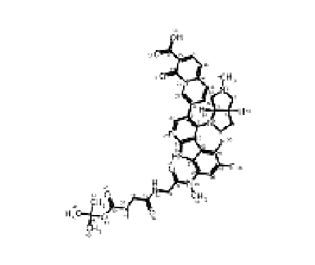 CN1C[C@@H]2CCN(c3c(-c4ccc5ccc(C(=O)O)c(=O)n5c4)cnc4[nH]c5c(N(C)C(=O)CNC(=O)CNC(=O)OC(C)(C)C)cc(F)c(F)c5c34)[C@@H]2C1